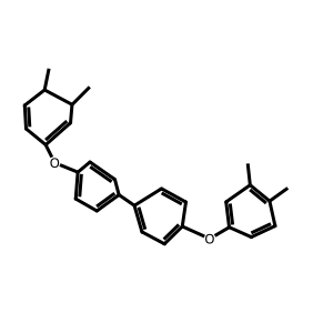 Cc1ccc(Oc2ccc(-c3ccc(OC4=CC(C)C(C)C=C4)cc3)cc2)cc1C